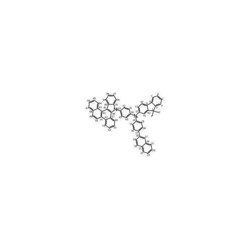 CC1(C)c2ccccc2-c2ccc(N(c3ccc(-c4ccc5ccccc5c4)cc3)c3ccc(-n4c5ccccc5c5c6c7ccccc7ccc6c6ccccc6c54)cc3)cc21